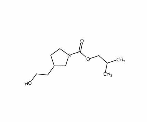 CC(C)COC(=O)N1CCC(CCO)C1